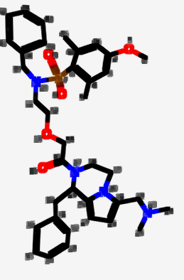 COc1cc(C)c(S(=O)(=O)N(CCOCC(=O)N2CCn3c(CN(C)C)ccc3C2Cc2ccccc2)Cc2ccccc2)c(C)c1